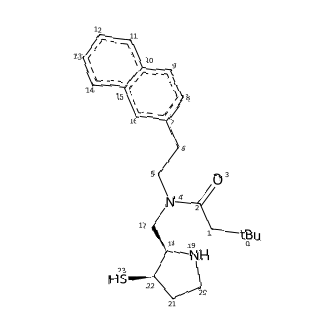 CC(C)(C)CC(=O)N(CCc1ccc2ccccc2c1)C[C@H]1NCC[C@H]1S